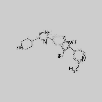 Cc1cc(-c2[nH]c3ccc(-c4nc(C5CCNCC5)c[nH]4)cc3c2C(C)C)ccn1